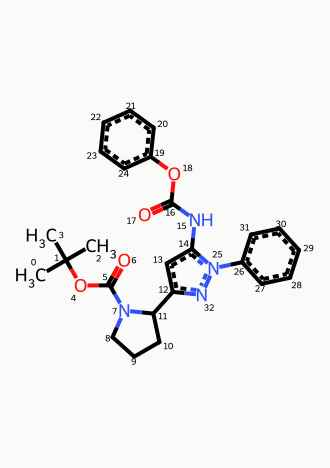 CC(C)(C)OC(=O)N1CCCC1c1cc(NC(=O)Oc2ccccc2)n(-c2ccccc2)n1